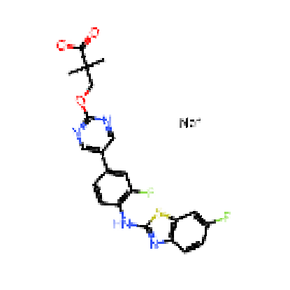 CC(C)(COc1ncc(-c2ccc(Nc3nc4ccc(F)cc4s3)c(F)c2)cn1)C(=O)[O-].[Na+]